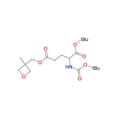 CC1(COC(=O)CCC(NC(=O)OC(C)(C)C)C(=O)OC(C)(C)C)COC1